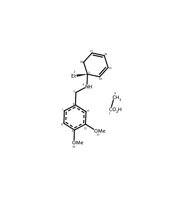 CC(=O)O.CC[C@]1(NCc2ccc(OC)c(OC)c2)C=CC=CC1